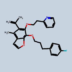 C=C(C)c1c(OCCc2ccccn2)c(OCCCc2ccc(F)cc2)c2occc2c1C